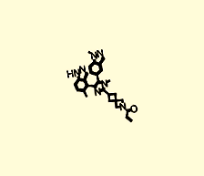 C=CC(=O)N1CC2(CC(c3nc(-c4c(C)ccc5[nH]ncc45)c(-c4ccc5c(cnn5C)c4)n3C)C2)C1